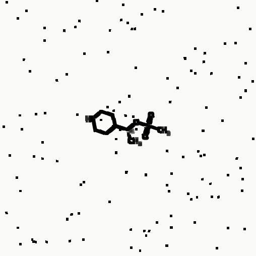 C[C@@H](OS(C)(=O)=O)C1CCNCC1